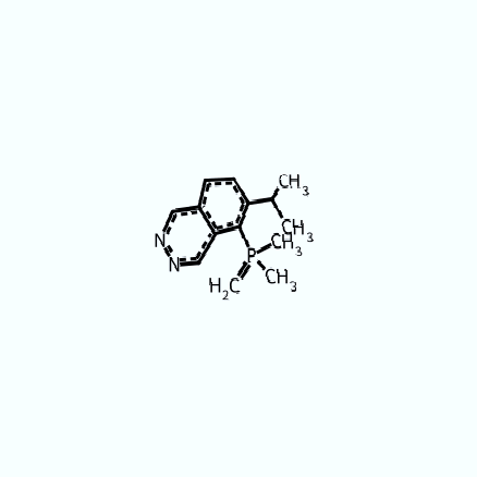 C=P(C)(C)c1c(C(C)C)ccc2cnncc12